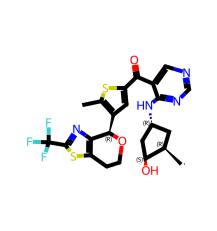 [CH2][C@@H]1C[C@@H](Nc2ncncc2C(=O)c2cc([C@H]3OCCc4sc(C(F)(F)F)nc43)c(C)s2)C[C@@H]1O